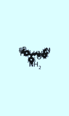 Nc1ccc(/C(=C\C=C\C(=O)Nc2cccc3cnccc23)c2ccc(C(F)(F)F)cc2)cc1